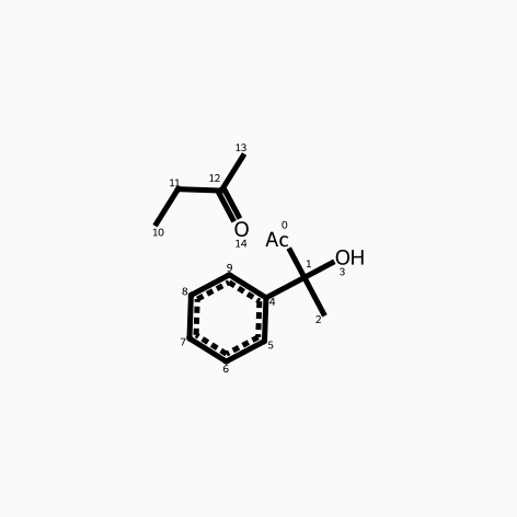 CC(=O)C(C)(O)c1ccccc1.CCC(C)=O